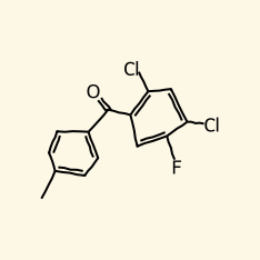 Cc1ccc(C(=O)c2cc(F)c(Cl)cc2Cl)cc1